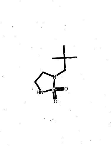 CC(C)(C)CN1CCNS1(=O)=O